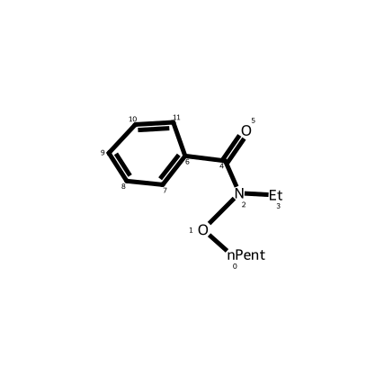 CCCCCON(CC)C(=O)c1ccccc1